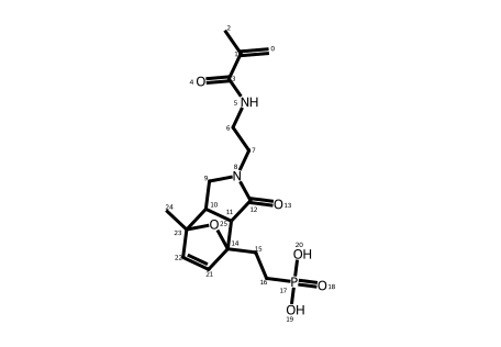 C=C(C)C(=O)NCCN1CC2C(C1=O)C1(CCP(=O)(O)O)C=CC2(C)O1